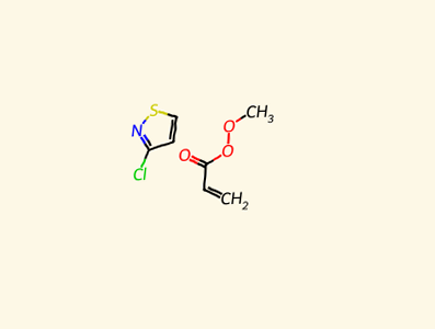 C=CC(=O)OOC.Clc1ccsn1